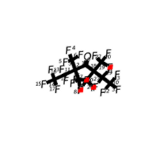 O=C(C(C(F)(F)F)(C(F)(F)F)C(F)(F)C(F)(F)F)C(C(F)(F)F)(C(F)(F)F)C(F)(F)C(F)(F)F